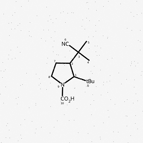 CC(C)(C)C1C(C(C)(C)C#N)CCN1C(=O)O